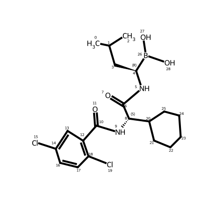 CC(C)C[C@H](NC(=O)[C@@H](NC(=O)c1cc(Cl)ccc1Cl)C1CCCCC1)B(O)O